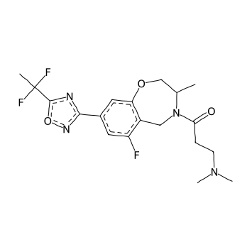 CC1COc2cc(-c3noc(C(C)(F)F)n3)cc(F)c2CN1C(=O)CCN(C)C